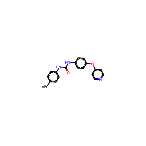 CCCc1ccc(NC(=O)Nc2ccc(Oc3ccncc3)cc2)cc1